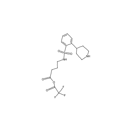 O=C(CCCNS(=O)(=O)c1ccccc1C1CCNCC1)OC(=O)C(F)(F)F